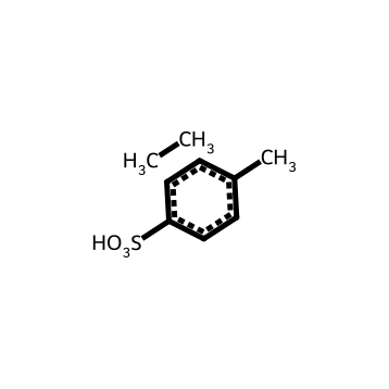 CC.Cc1ccc(S(=O)(=O)O)cc1